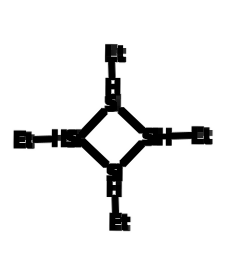 CC[SiH]1[SiH](CC)[SiH](CC)[SiH]1CC